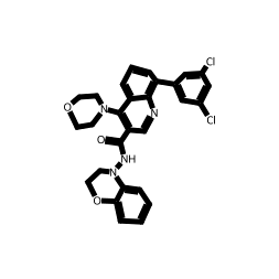 O=C(NN1CCOc2ccccc21)c1cnc2c(-c3cc(Cl)cc(Cl)c3)cccc2c1N1CCOCC1